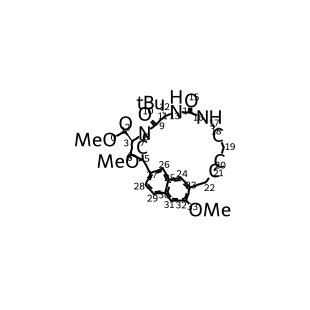 COC(=O)[C@@H]1C[C@]2(OC)CN1C(=O)[C@H](C(C)(C)C)NC(=O)NCCCCCCc1cc3cc2ccc3cc1OC